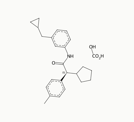 Cc1ccc([C@@H](C(=O)Nc2cccc(CC3CC3)c2)C2CCCC2)cc1.O=C(O)O